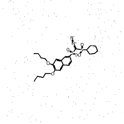 CCCCOc1cc2ccc(S(=O)(=O)C(=[N+]=[N-])S(=O)(=O)C3CCCCC3)cc2cc1OCCCC